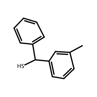 Cc1cccc(C(S)c2ccccc2)c1